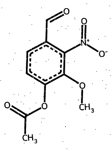 COc1c(OC(C)=O)ccc(C=O)c1[N+](=O)[O-]